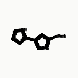 CCCCCc1cc(-c2ccc[nH]2)cs1